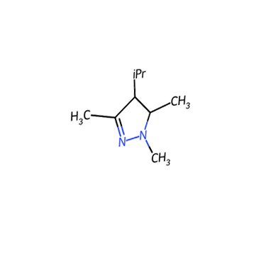 CC1=NN(C)C(C)C1C(C)C